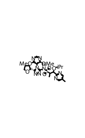 COc1ncnc(OC)c1-n1c(NS(=O)(=O)C(C)C(OC(C)C)c2ncc(C)cn2)nnc1[C@H]1CCCO1